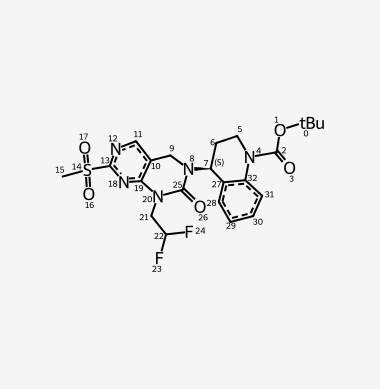 CC(C)(C)OC(=O)N1CC[C@H](N2Cc3cnc(S(C)(=O)=O)nc3N(CC(F)F)C2=O)c2ccccc21